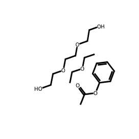 CC(=O)Oc1ccccc1.CCOCC.OCCOCCOCCO